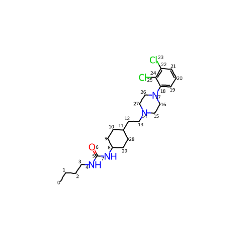 CCCCNC(=O)NC1CCC(CCN2CCN(c3cccc(Cl)c3Cl)CC2)CC1